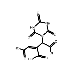 O=C(O)C=C(C(=O)O)C(C(=O)O)n1c(=O)[nH]c(=O)[nH]c1=O